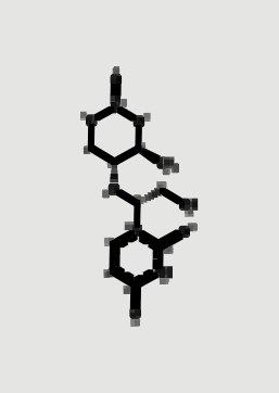 C[C@@H]1O[PH](=O)OC[C@H]1O[C@H](CO)n1ccc(=O)[nH]c1=O